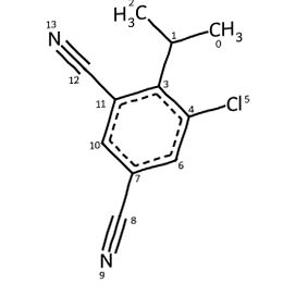 CC(C)c1c(Cl)cc(C#N)cc1C#N